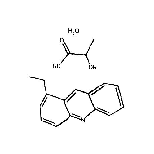 CC(O)C(=O)O.CCc1cccc2nc3ccccc3cc12.O